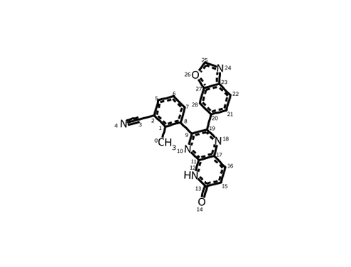 Cc1c(C#N)cccc1-c1nc2[nH]c(=O)ccc2nc1-c1ccc2ncoc2c1